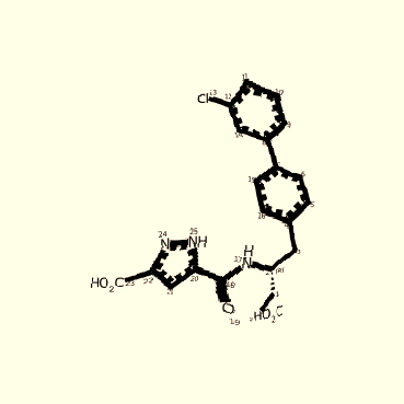 O=C(O)C[C@@H](Cc1ccc(-c2cccc(Cl)c2)cc1)NC(=O)c1cc(C(=O)O)n[nH]1